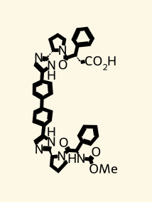 COC(=O)N[C@@H](C(=O)N1CCC[C@H]1c1ncc(-c2ccc(-c3ccc(-c4cnc([C@@H]5CCCN5C(=O)[C@@H](CC(=O)O)c5ccccc5)[nH]4)cc3)cc2)[nH]1)c1ccccc1